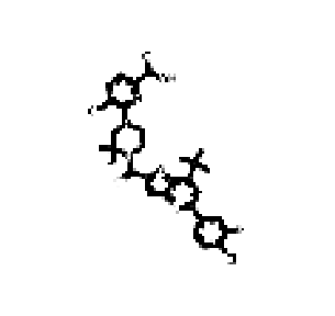 CC(C)(C)c1cc(-c2ccc(Cl)c(F)c2)nc2cc(C(=O)N3CCN(c4nc(C(=O)O)ccc4Cl)CC3(C)C)oc12